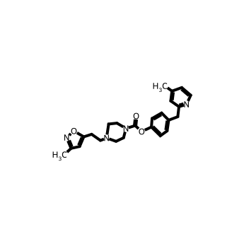 Cc1ccnc(Cc2ccc(OC(=O)N3CCN(CCc4cc(C)no4)CC3)cc2)c1